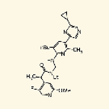 CCCCc1cc(-c2cncc(C3CC3)n2)c(C)nc1NCN(CC)C(=O)[C@H](C)c1cc(OC)ncc1F